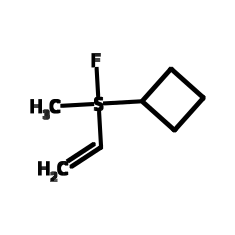 C=CS(C)(F)C1CCC1